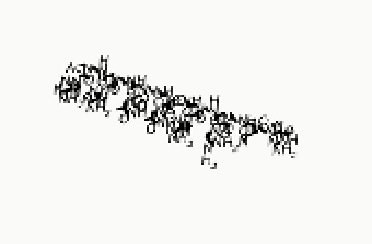 CC(=O)CN(CCNC(=O)CN(CCNC(=O)CN(CCNC(=O)CN(CCNC(=O)CN(CCNC(=O)CN(CCNC(=O)CN(CCN)C(=O)Cn1cnc2c(=O)[nH]c(N)nc21)C(=O)Cn1ccc(N)nc1=O)C(=O)Cn1cnc2c(N)ncnc21)C(=O)Cn1cc(C)c(=O)[nH]c1=O)C(=O)Cn1cc(C)c(=O)[nH]c1=O)C(=O)Cn1cnc2c(N)ncnc21)C(=O)Cn1cnc2c(N)ncnc21